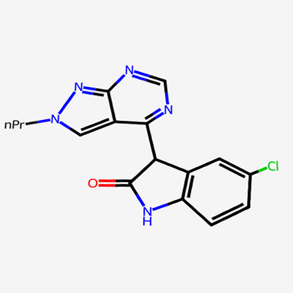 CCCn1cc2c(C3C(=O)Nc4ccc(Cl)cc43)ncnc2n1